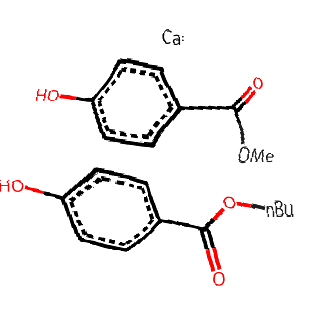 CCCCOC(=O)c1ccc(O)cc1.COC(=O)c1ccc(O)cc1.[Ca]